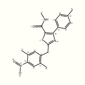 CNC(=O)c1sc(Cc2cc(C)c([N+](=O)[O-])cc2C)nc1-c1ccc(C)cc1